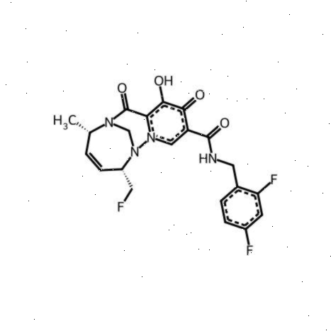 C[C@H]1C=C[C@@H](CF)N2CN1C(=O)c1c(O)c(=O)c(C(=O)NCc3ccc(F)cc3F)cn12